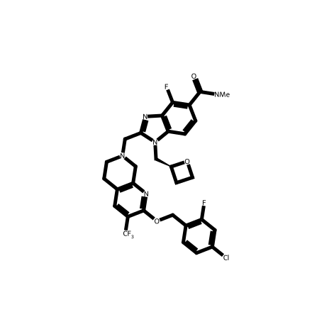 CNC(=O)c1ccc2c(nc(CN3CCc4cc(C(F)(F)F)c(OCc5ccc(Cl)cc5F)nc4C3)n2C[C@@H]2CCO2)c1F